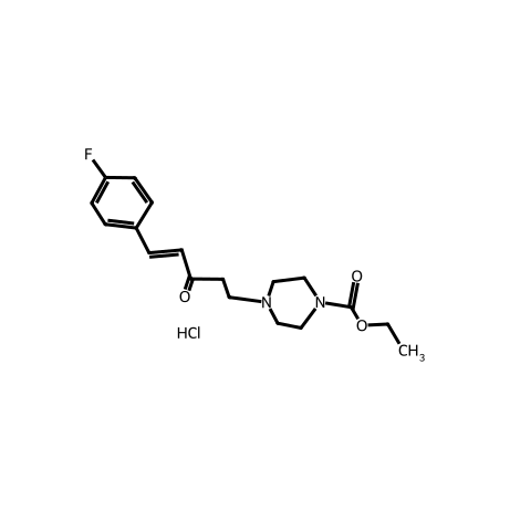 CCOC(=O)N1CCN(CCC(=O)C=Cc2ccc(F)cc2)CC1.Cl